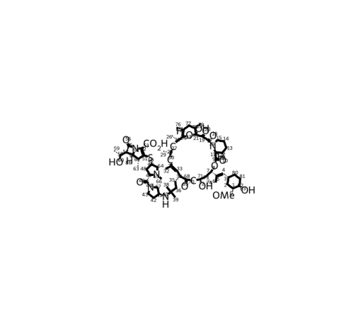 CO[C@@H]1C[C@H](/C=C(\C)[C@H]2OC(=O)[C@@H]3CCCCN3C(=O)C(=O)[C@]3(O)O[C@H]([C@@H](C)C[C@@H](C)C/C(C)=C/[C@@H](CCC(C)(C)N[C@H]4CCN(C(=O)[C@@H]5C[C@H](SC6=C(C(=O)O)N7C(=O)[C@H]([C@@H](C)O)[C@H]7[C@H]6C)CN5C)C4)C(=O)C[C@H](O)[C@H]2C)[C@@H](C)C[C@H]3C)CC[C@H]1O